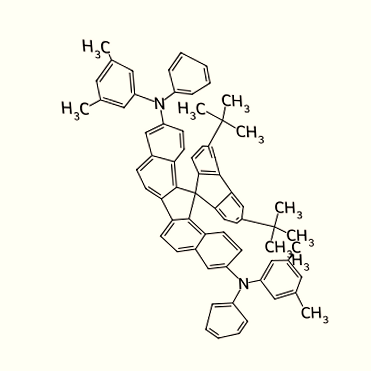 Cc1cc(C)cc(N(c2ccccc2)c2ccc3c4c(ccc3c2)-c2ccc3cc(N(c5ccccc5)c5cc(C)cc(C)c5)ccc3c2C42c3ccc(C(C)(C)C)cc3-c3cc(C(C)(C)C)ccc32)c1